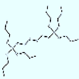 CCCO[Si](CCSSCC[Si](OCCC)(OCCC)OCCC)(OCCC)OCCC